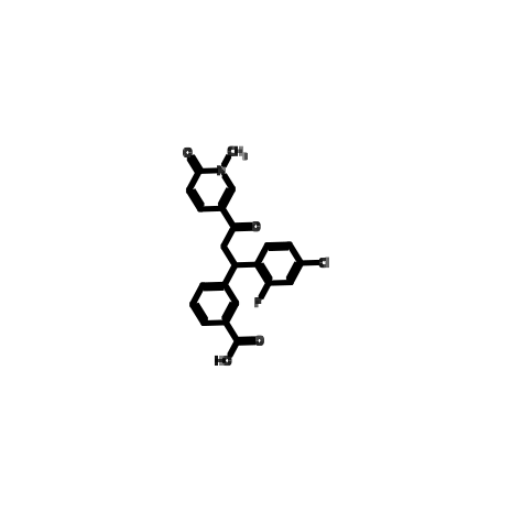 Cn1cc(C(=O)CC(c2cccc(C(=O)O)c2)c2ccc(Cl)cc2F)ccc1=O